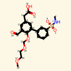 CNS(=O)(=O)c1cccc(-c2cc(CC(=O)O)cc(C=O)c2OCOCCOC)c1